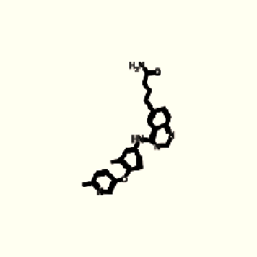 Cc1ccc(Oc2ccc(Nc3ncnc4ccc(CCCC(N)=O)cc34)cc2C)cn1